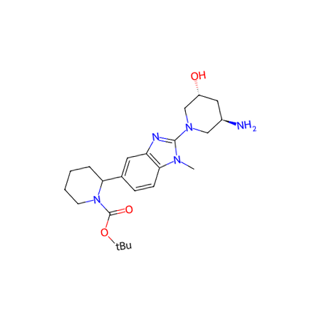 Cn1c(N2C[C@H](N)C[C@@H](O)C2)nc2cc(C3CCCCN3C(=O)OC(C)(C)C)ccc21